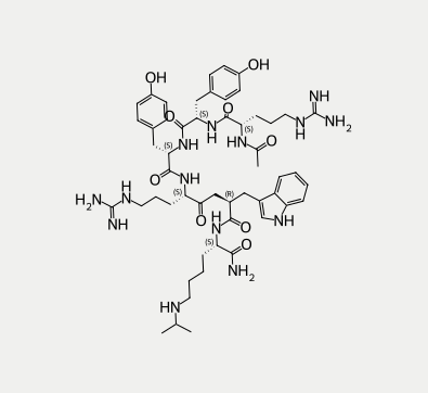 CC(=O)N[C@@H](CCCNC(=N)N)C(=O)N[C@@H](Cc1ccc(O)cc1)C(=O)N[C@@H](Cc1ccc(O)cc1)C(=O)N[C@@H](CCCNC(=N)N)C(=O)C[C@@H](Cc1c[nH]c2ccccc12)C(=O)N[C@@H](CCCCNC(C)C)C(N)=O